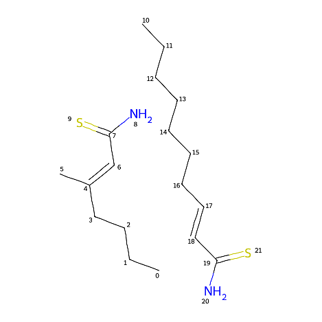 CCCCC(C)=CC(N)=S.CCCCCCCC=CC(N)=S